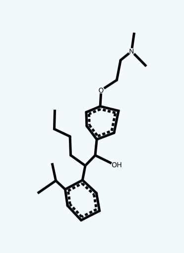 CCCCC(c1ccccc1C(C)C)C(O)c1ccc(OCCN(C)C)cc1